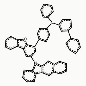 c1ccc(-c2cccc(N(c3ccccc3)c3ccc(-c4cc(-n5c6ccccc6c6cc7ccccc7cc65)cc5c4oc4ccccc45)cc3)c2)cc1